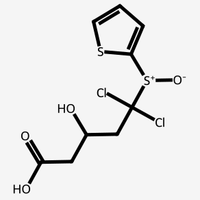 O=C(O)CC(O)CC(Cl)(Cl)[S+]([O-])c1cccs1